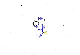 NC(=S)N/N=C\c1ncccc1N